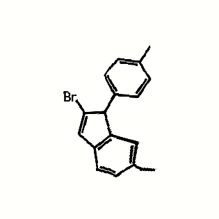 Cc1ccc(C2C(Br)=Cc3ccc(C)cc32)cc1